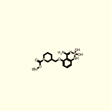 CC(C)(C)OC(=O)N1CCCC(COc2cccc3c2C(N)=NS(O)(O)N3)C1